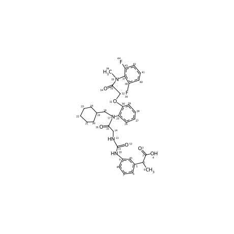 CC(C(=O)O)c1cccc(NC(=O)NCC(=O)N(CC2CCCCC2)c2ccccc2OCC(=O)N(C)c2c(F)cccc2F)c1